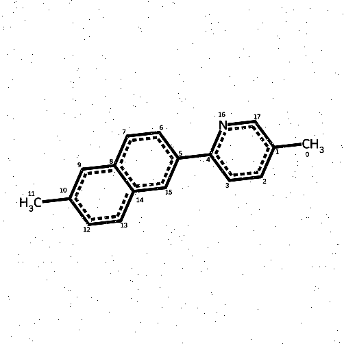 Cc1ccc(-c2ccc3cc(C)ccc3c2)nc1